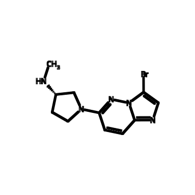 CN[C@H]1CCN(c2ccc3ncc(Br)n3n2)C1